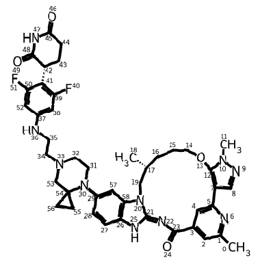 Cc1cc2cc(n1)-c1cnn(C)c1OCCC[C@@H](C)CN1/C(=N/C2=O)Nc2ccc(N3CCN(CCNc4cc(F)c([C@H]5CCC(=O)NC5=O)c(F)c4)CC34CC4)cc21